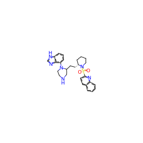 O=S(=O)(c1ccc2ccccc2n1)N1CCCC[C@H]1CCC1CNCCN1c1cccc2[nH]cnc12